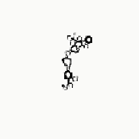 CN(C)C(=O)c1ccc(N2CCC(OC3CCN(C(=O)[C@@]4(c5ccccc5)OC4(F)C(F)(F)F)CC3)CC2)cc1Cl